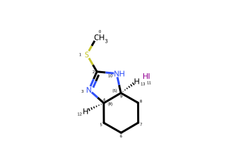 CSC1=N[C@@H]2CCCC[C@@H]2N1.I